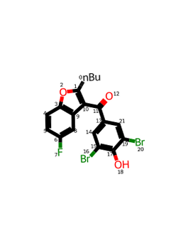 CCCCc1oc2ccc(F)cc2c1C(=O)c1cc(Br)c(O)c(Br)c1